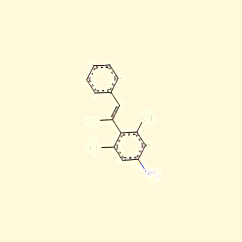 C/C(=C\c1ccccc1)c1c(C)cc(N)cc1C